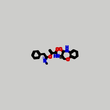 C=C(O/C(Cc1ccccc1)=N\C)C(=O)N[C@H]1COc2ccccc2NC1=O